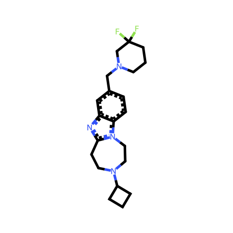 FC1(F)CCCN(Cc2ccc3c(c2)nc2n3CCN(C3CCC3)CC2)C1